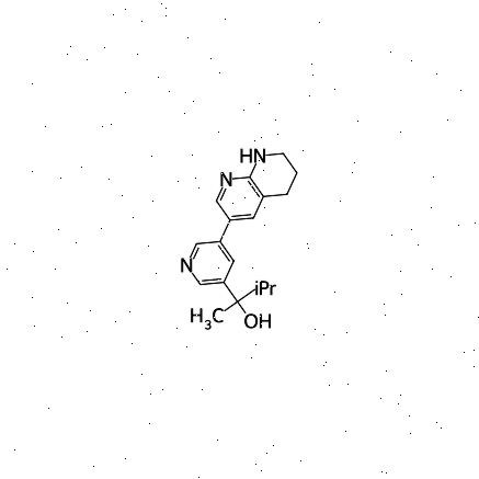 CC(C)C(C)(O)c1cncc(-c2cnc3c(c2)CCCN3)c1